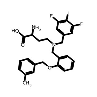 Cc1cccc(COc2ccccc2CN(CCC(N)C(=O)O)Cc2cc(F)c(I)c(F)c2)c1